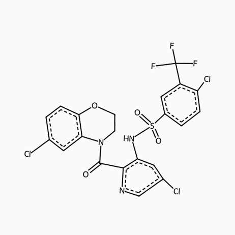 O=C(c1ncc(Cl)cc1NS(=O)(=O)c1ccc(Cl)c(C(F)(F)F)c1)N1CCOc2ccc(Cl)cc21